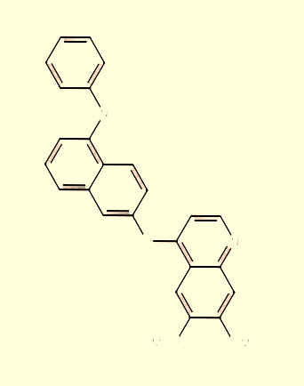 COc1cc2nccc(Oc3ccc4c(Nc5ccccc5)cccc4c3)c2cc1OC